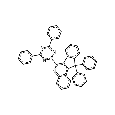 c1ccc(-c2nc(-c3ccccc3)nc(-c3nc4ccccc4c4c3-c3ccccc3C4(c3ccccc3)c3ccccc3)n2)cc1